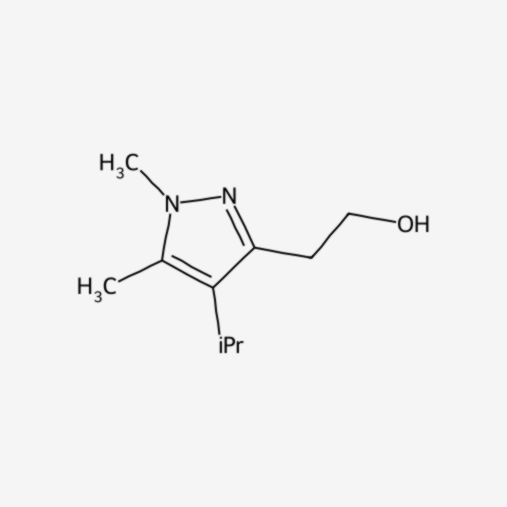 Cc1c(C(C)C)c(CCO)nn1C